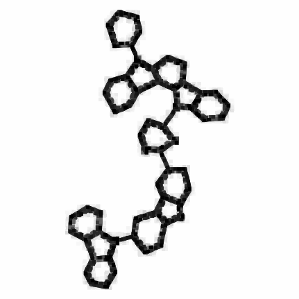 c1ccc(-n2c3ccccc3c3c2ccc2c4ccccc4n(-c4ccnc(-c5ccc6oc7ccc(-n8c9ccccc9c9ccccc98)cc7c6c5)n4)c23)cc1